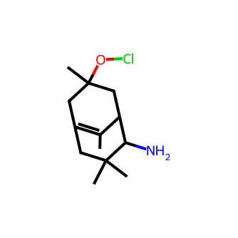 CC1=C2CC(C)(OCl)CC1C(N)C(C)(C)C2